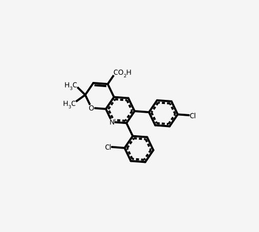 CC1(C)C=C(C(=O)O)c2cc(-c3ccc(Cl)cc3)c(-c3ccccc3Cl)nc2O1